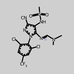 CN(C)/C=N/c1c(NS(C)(=O)=O)c(C#N)nn1-c1c(Cl)cc(C(F)(F)F)cc1Cl